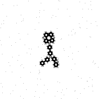 c1ccc(-c2ccc(N(c3ccc(-c4ccc(-n5c6ccc7sc8ccccc8c7c6c6c7c(ccc65)sc5ccccc57)cc4)cc3)c3ccc4sc5ccccc5c4c3)cc2)cc1